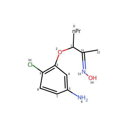 CCCC(Oc1cc(N)ccc1Cl)C(C)=NO